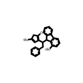 CCCCc1cccc2c1C(C(Cc1ccccc1)C1=C(C)CC(C(C)(C)C)=C1)c1ccccc1-2